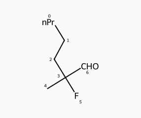 CCCCCC(C)(F)C=O